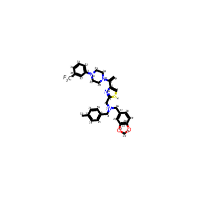 C=C(c1csc(CN(Cc2ccc(C)cc2)Cc2ccc3c(c2)OCO3)n1)N1CCN(c2cccc(C(F)(F)F)c2)CC1